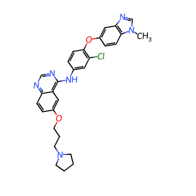 Cn1cnc2cc(Oc3ccc(Nc4ncnc5ccc(OCCCN6CCCC6)cc45)cc3Cl)ccc21